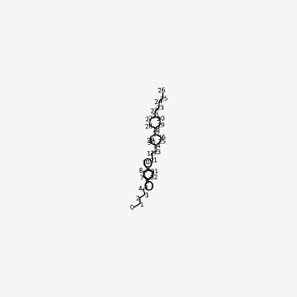 CCCCCOc1ccc(OCCCC2CCC(C3CCC(CCCCC)CC3)CC2)cc1